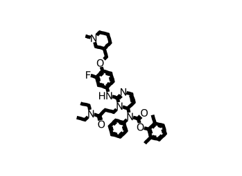 CCN(CC)C(=O)CCN1C(Nc2ccc(OCC3CCCN(C)C3)c(F)c2)=NC=CC1N(C(=O)Oc1c(C)cccc1C)c1ccccc1